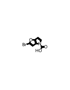 O=C(O)n1ccc2oc(Br)cc21